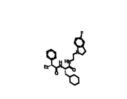 CC[C@@H](C(=O)N[C@@H](CC1CCCCC1)C(=O)NCCN1CCc2cc(F)ccc21)c1ccccc1